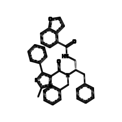 Cc1nc(C(=O)N(Cc2ccccc2)[C@H](CNC(=O)c2cccc3occc23)Cc2ccccc2)c(-c2ccccc2)s1